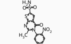 Cc1nc2sc(S(N)(=O)=O)cc2c(=O)n1-c1ccccc1[N+](=O)[O-]